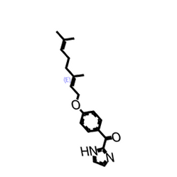 CC(C)=CCC/C(C)=C/COc1ccc(C(=O)c2ncc[nH]2)cc1